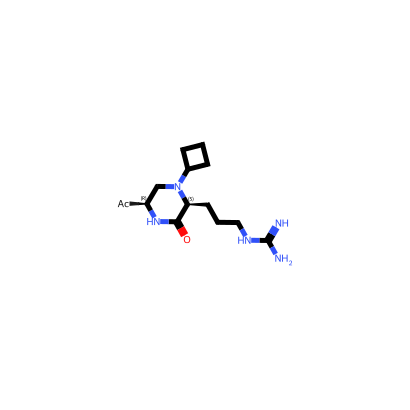 CC(=O)[C@H]1CN(C2CCC2)[C@@H](CCCNC(=N)N)C(=O)N1